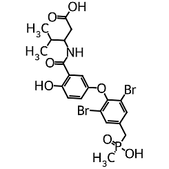 CC(C)C(CC(=O)O)NC(=O)c1cc(Oc2c(Br)cc(CP(C)(=O)O)cc2Br)ccc1O